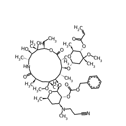 C=CC(=O)O[C@H]1[C@H](C)O[C@@H](O[C@H]2[C@H](C)[C@@H](O[C@@H]3O[C@H](C)C[C@H](N(C)CCC#N)[C@H]3OC(=O)OCc3ccccc3)[C@](C)(OC)C[C@@H](C)C(=O)N[C@H](C)[C@@H](O)[C@](C)(O)[C@@H](CC)OC(=O)[C@@H]2C)C[C@@]1(C)OC